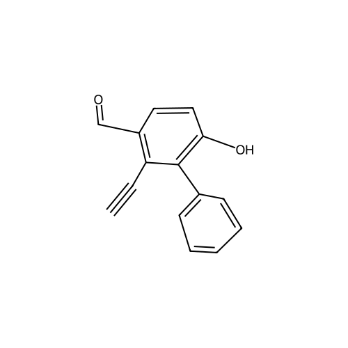 C#Cc1c(C=O)ccc(O)c1-c1ccccc1